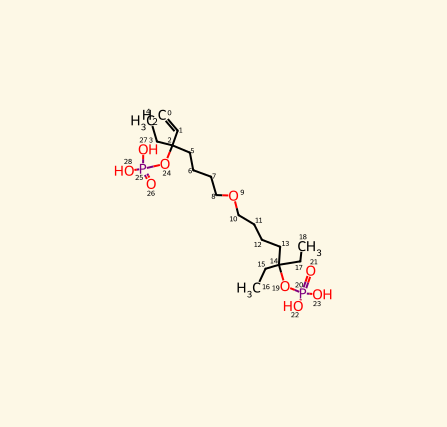 C=CC(CC)(CCCCOCCCCC(CC)(CC)OP(=O)(O)O)OP(=O)(O)O